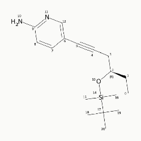 CC[C@H](CC#Cc1ccc(N)nc1)O[Si](C)(C)C(C)(C)C